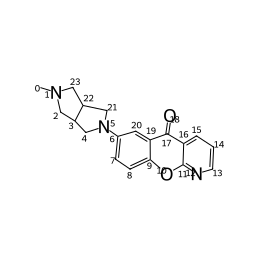 CN1CC2CN(c3ccc4oc5ncccc5c(=O)c4c3)CC2C1